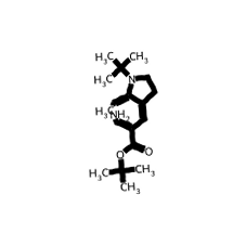 C\C=C1/C(=C\C(=C/N)C(=O)OC(C)(C)C)CCN1C(C)(C)C